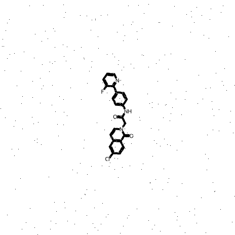 O=C(Cn1ccc2cc(Cl)ccc2c1=O)Nc1ccc(-c2ncccc2F)cc1